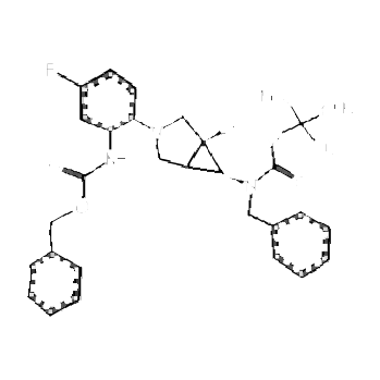 CC(C)(C)OC(=O)N(Cc1ccccc1)[C@H]1C2CN(c3ccc(F)cc3NC(=O)OCc3ccccc3)C[C@@H]21